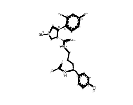 CC(C)C(=O)N[C@@H](CCCNC(=O)[C@@H]1CN(C(C)(C)C)C[C@H]1c1ccc(F)cc1F)c1ccc(Cl)cc1